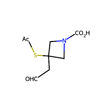 CC(=O)SC1(CC=O)CN(C(=O)O)C1